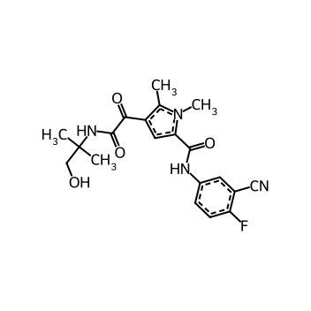 Cc1c(C(=O)C(=O)NC(C)(C)CO)cc(C(=O)Nc2ccc(F)c(C#N)c2)n1C